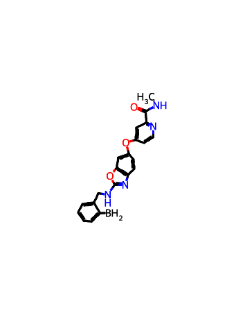 Bc1ccccc1CNc1nc2ccc(Oc3ccnc(C(=O)NC)c3)cc2o1